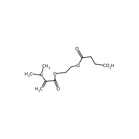 C=C(C(=O)OCCOC(=O)CCC(=O)O)N(C)C